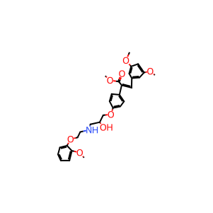 COC(=O)C(=Cc1cc(OC)cc(OC)c1)c1ccc(OCC(O)CNCCOc2ccccc2OC)cc1